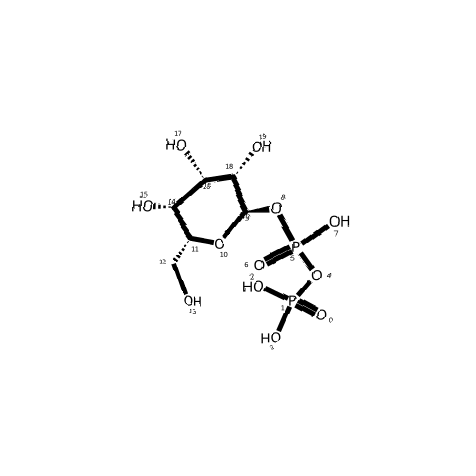 O=P(O)(O)OP(=O)(O)O[C@H]1O[C@H](CO)[C@H](O)[C@H](O)[C@@H]1O